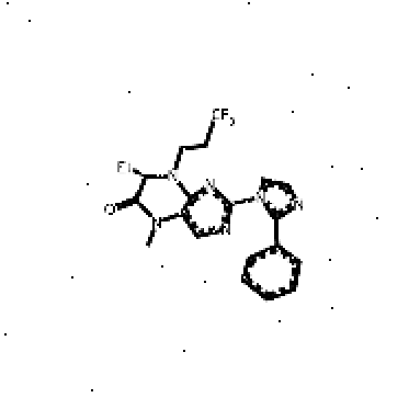 CC[C@@H]1C(=O)N(C)c2cnc(-n3ccnc3-c3ccccc3)nc2N1CCC(F)(F)F